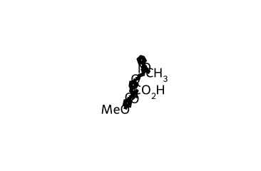 COc1ccc(OC(=O)N(CC(=O)O)Cc2ccc(OCCCc3nc(-c4ccccc4)oc3C)cc2)cc1